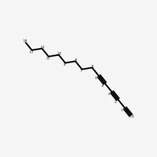 [C]#CC#CC#CCCCCCCCCC